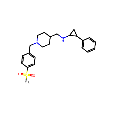 CS(=O)(=O)c1ccc(CN2CCC(CNC3CC3c3ccccc3)CC2)cc1